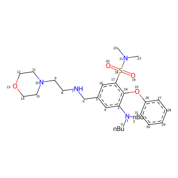 CCCCN(CCCC)c1cc(CNCCN2CCOCC2)cc(S(=O)(=O)N(C)C)c1Oc1ccccc1